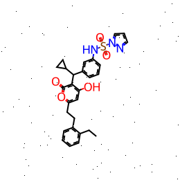 CCc1ccccc1CCc1cc(O)c(C(c2cccc(NS(=O)(=O)n3cccn3)c2)C2CC2)c(=O)o1